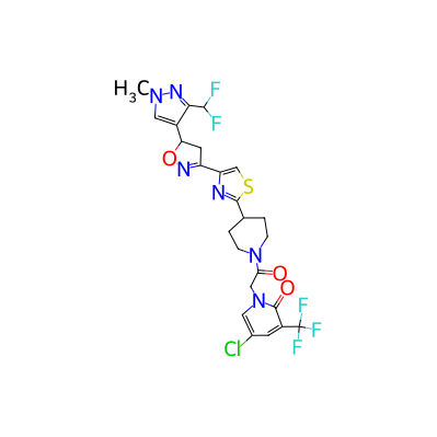 Cn1cc(C2CC(c3csc(C4CCN(C(=O)Cn5cc(Cl)cc(C(F)(F)F)c5=O)CC4)n3)=NO2)c(C(F)F)n1